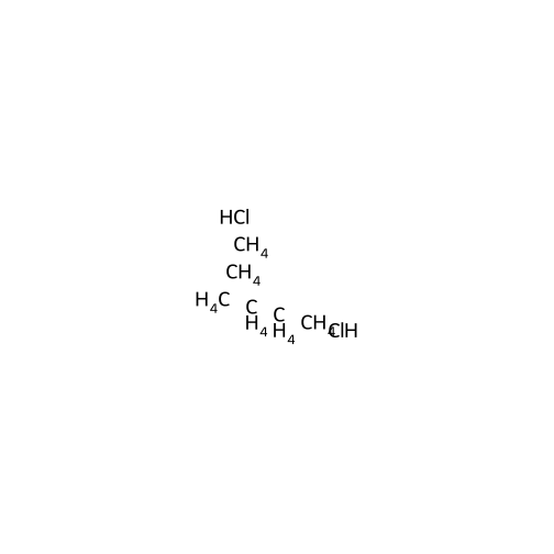 C.C.C.C.C.C.Cl.Cl